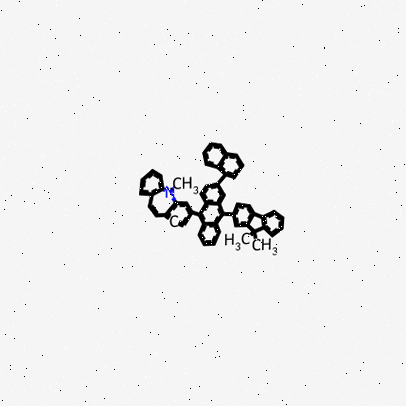 CN1c2ccccc2C=Cc2ccc(-c3c4ccccc4c(-c4ccc5c(c4)C(C)(C)c4ccccc4-5)c4cc(-c5cccc6ccccc56)ccc34)cc21